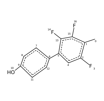 Cc1c(F)cc(-c2ccc(O)cc2)c(F)c1F